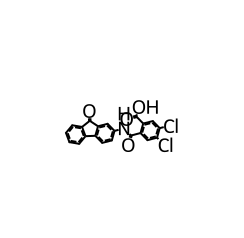 O=C(O)c1cc(Cl)c(Cl)cc1C(=O)Nc1ccc2c(c1)C(=O)c1ccccc1-2